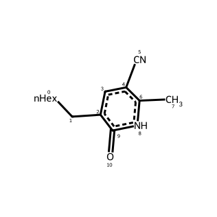 CCCCCCCc1cc(C#N)c(C)[nH]c1=O